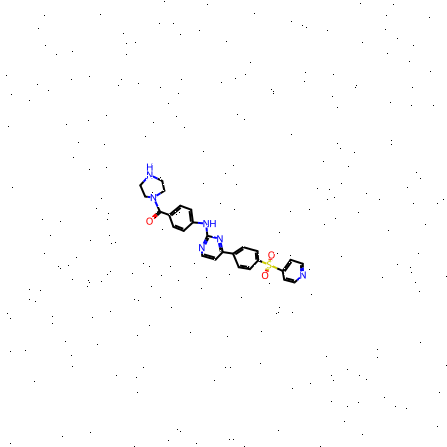 O=C(c1ccc(Nc2nccc(-c3ccc(S(=O)(=O)c4ccncc4)cc3)n2)cc1)N1CCNCC1